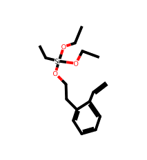 C=Cc1ccccc1CCO[Si](CC)(OCC)OCC